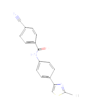 Cc1nc(-c2ccc(NC(=O)c3ccc(C#N)cc3)cc2)cs1